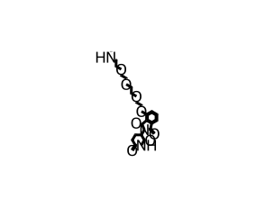 CNCCOCCOCCOCCOc1cccc2c1C(=O)N(C1CCC(=O)NC1=O)C2=O